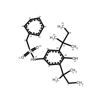 CCC(C)(C)c1cc(NS(=O)(=O)Cc2ccccc2)cc(C(C)(C)CC)c1O